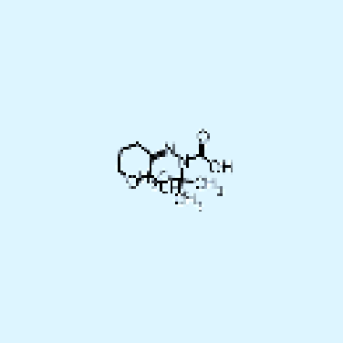 CC1OCCCC1=NN(C(=O)O)C(C)(C)C